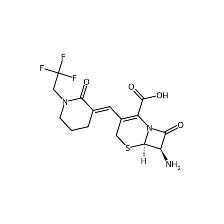 N[C@@H]1C(=O)N2C(C(=O)O)=C(/C=C3\CCCN(CC(F)(F)F)C3=O)CS[C@H]12